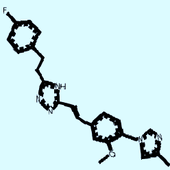 COc1cc(C=Cc2nnc(CCc3ccc(F)cc3)[nH]2)ccc1-n1cnc(C)c1